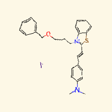 CN(C)c1ccc(/C=C/c2sc3ccccc3[n+]2CCCOCc2ccccc2)cc1.[I-]